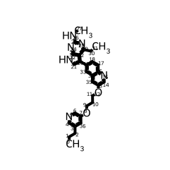 CCCc1cncc(OCCCOc2cnc3ccc(-c4c[nH]c5nc(NC)nc(CC)c45)cc3c2)c1